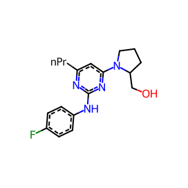 CCCc1cc(N2CCCC2CO)nc(Nc2ccc(F)cc2)n1